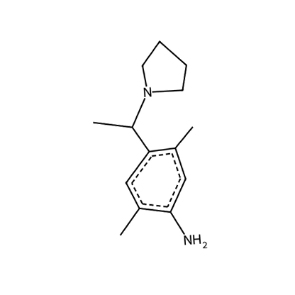 Cc1cc(C(C)N2CCCC2)c(C)cc1N